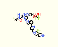 CNc1cc(N2CCc3c(-c4ccc(CN5CCC6(CCNCC6)C(F)(F)C5)cn4)cccc32)nn2c(C(=O)N[C@@H]3C[C@@H]3F)cnc12.O=C(O)C(F)(F)F